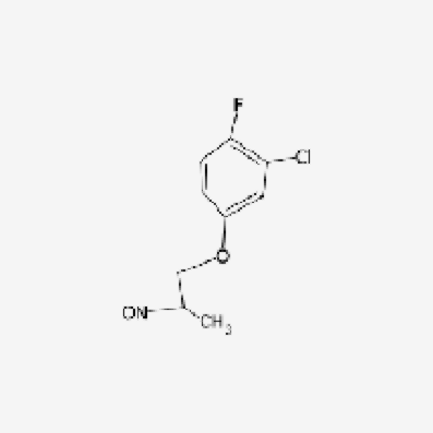 CC(COc1ccc(F)c(Cl)c1)N=O